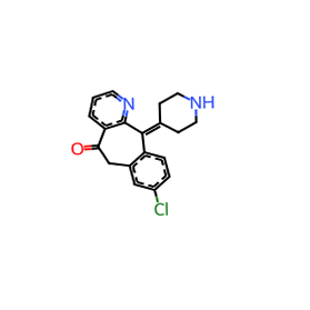 O=C1Cc2cc(Cl)ccc2C(=C2CCNCC2)c2ncccc21